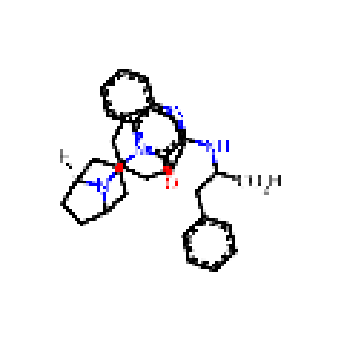 O=C(O)C(Cc1ccccc1)Nc1nc2ccccc2n(C2CC3CC[C@@H](C2)N3C2CCCCCCC2)c1=O